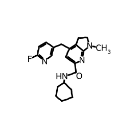 CN1CCc2c(Cc3ccc(F)nc3)cc(C(=O)NC3CCCCC3)nc21